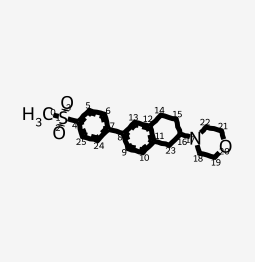 CS(=O)(=O)c1ccc(-c2ccc3c(c2)CCC(N2CCOCC2)C3)cc1